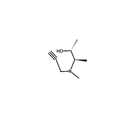 C#CCN(C)[C@H](C)[C@@H](C)O